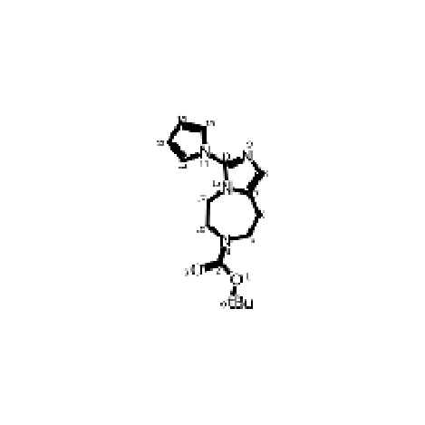 CC(C)(C)OC(=O)N1CCc2cnc(-n3cccc3)n2CC1